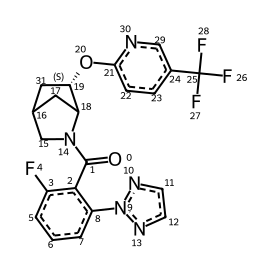 O=C(c1c(F)cccc1-n1nccn1)N1CC2CC1[C@@H](Oc1ccc(C(F)(F)F)cn1)C2